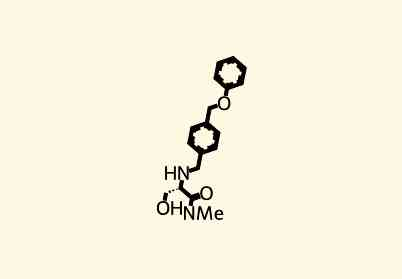 CNC(=O)[C@H](CO)NCc1ccc(COc2ccccc2)cc1